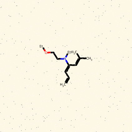 C=C/C=C(\C=C(C)C)N(CC)CCOCC